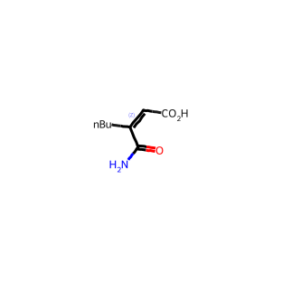 CCCC/C(=C/C(=O)O)C(N)=O